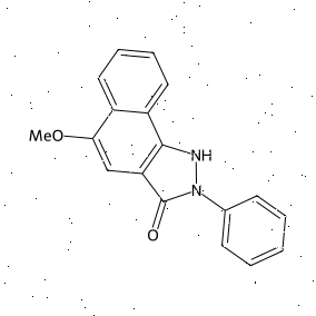 COc1cc2c(=O)n(-c3ccccc3)[nH]c2c2ccccc12